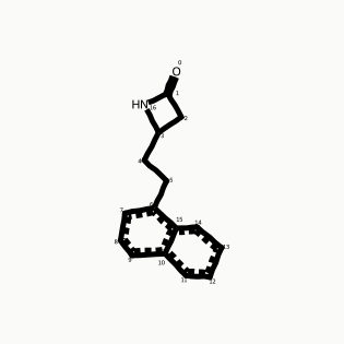 O=C1CC(CCc2cccc3ccccc23)N1